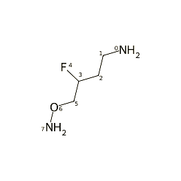 NCCC(F)CON